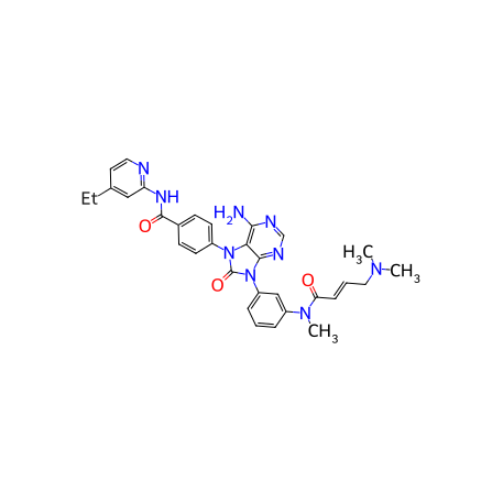 CCc1ccnc(NC(=O)c2ccc(-n3c(=O)n(-c4cccc(N(C)C(=O)/C=C/CN(C)C)c4)c4ncnc(N)c43)cc2)c1